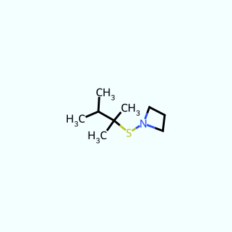 CC(C)C(C)(C)SN1CCC1